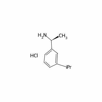 CC(C)c1cccc([C@H](C)N)c1.Cl